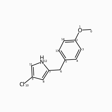 COc1ccc(Cc2cc(Cl)c[nH]2)cc1